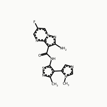 Cc1nsc(NC(=O)c2c(N)nn3cc(F)cnc23)c1-c1cncn1C